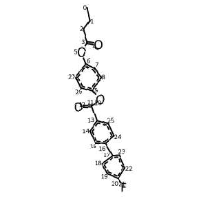 CCCC(=O)Oc1ccc(OC(=O)c2ccc(-c3ccc(F)cc3)cc2)cc1